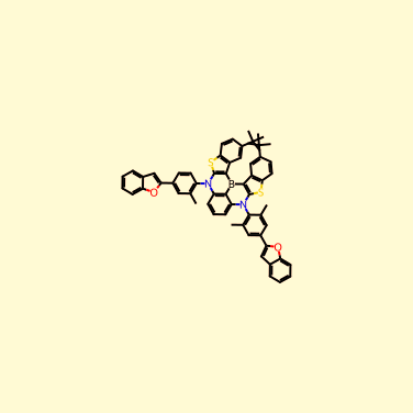 Cc1cc(-c2cc3ccccc3o2)ccc1N1c2cccc3c2B(c2c1sc1ccc(C(C)(C)C)cc21)c1c(sc2ccc(C(C)(C)C)cc12)N3c1c(C)cc(-c2cc3ccccc3o2)cc1C